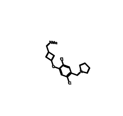 CNCC1CC(Oc2cc(Cl)c(CN3CCCC3)cc2Cl)C1